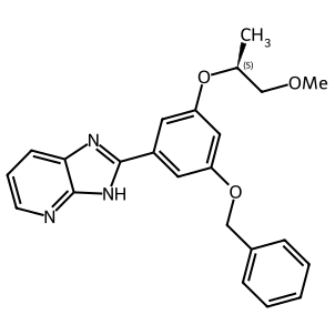 COC[C@H](C)Oc1cc(OCc2ccccc2)cc(-c2nc3cccnc3[nH]2)c1